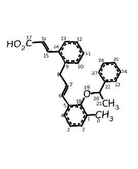 Cc1cccc(C=CCc2ccccc2C=CC(=O)O)c1OC(C)c1ccccc1